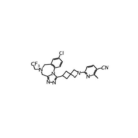 Cc1nc(N2CC3(CC(c4nnc5n4-c4ccc(Cl)cc4CN(CC(F)(F)F)C5)C3)C2)ccc1C#N